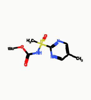 Cc1cnc([SH](C)(=O)NC(=O)OC(C)(C)C)nc1